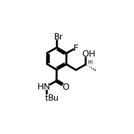 C[C@@H](O)Cc1c(C(=O)NC(C)(C)C)ccc(Br)c1F